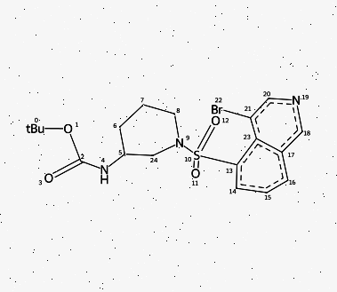 CC(C)(C)OC(=O)NC1CCCN(S(=O)(=O)c2cccc3cncc(Br)c23)C1